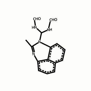 CC1=Nc2cccc3cccc(c23)N1C(NC=O)NC=O